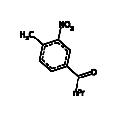 CCCC(=O)c1ccc(C)c([N+](=O)[O-])c1